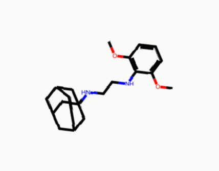 COc1cccc(OC)c1NCCNC12CC3CC(CC(C3)C1)C2